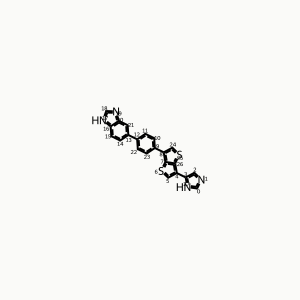 c1ncc(-c2csc3c(-c4ccc(-c5ccc6[nH]cnc6c5)cc4)csc23)[nH]1